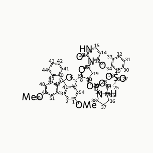 COc1ccc(C(OC[C@@H]2O[C@H](n3c(=O)cc[nH]c3=O)C[C@H]2O[P@]2O[C@H](CS(=O)(=O)c3ccccc3)[C@@H]3CCCN32)(c2ccccc2)c2ccc(OC)cc2)cc1